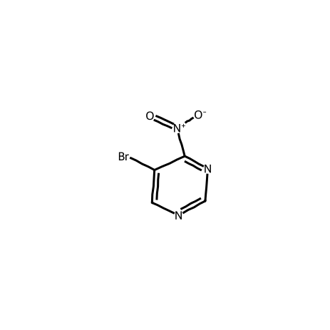 O=[N+]([O-])c1ncncc1Br